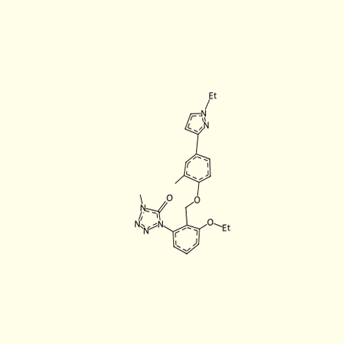 CCOc1cccc(-n2nnn(C)c2=O)c1COc1ccc(-c2ccn(CC)n2)cc1C